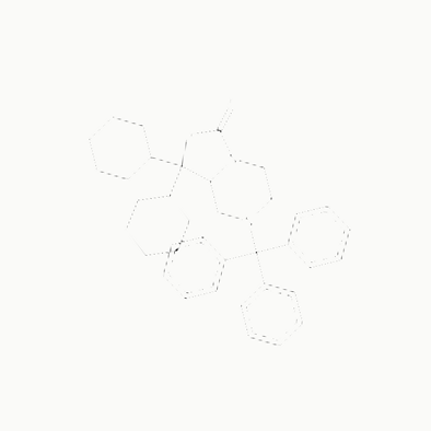 O=C1OC(C2CCCCC2)(C2CCCCC2)C2CN(C(c3ccccc3)(c3ccccc3)c3ccccc3)CCN12